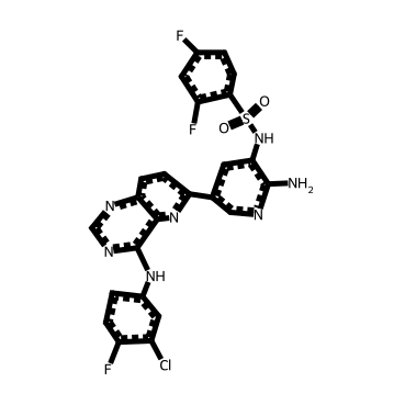 Nc1ncc(-c2ccc3ncnc(Nc4ccc(F)c(Cl)c4)c3n2)cc1NS(=O)(=O)c1ccc(F)cc1F